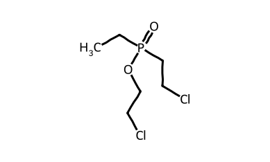 CCP(=O)(CCCl)OCCCl